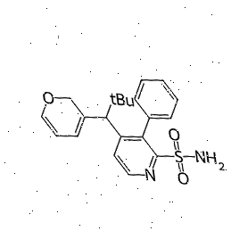 CC(C)(C)C(C1=CC=COC1)c1ccnc(S(N)(=O)=O)c1-c1ccccc1